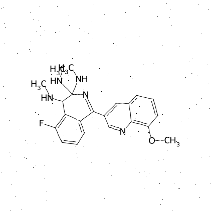 CNC1c2c(F)cccc2C(c2cnc3c(OC)cccc3c2)=NC1(NC)NC